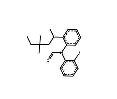 CCC(C)(C)CC(C)c1ccccc1N(C=O)c1ccccc1I